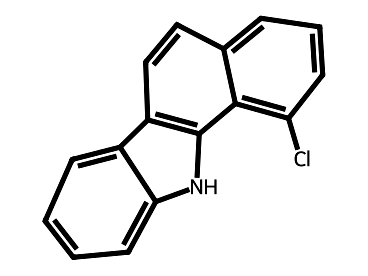 Clc1cccc2ccc3c4ccccc4[nH]c3c12